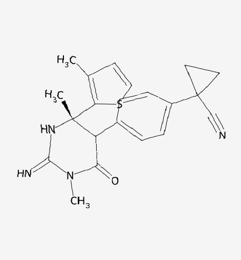 Cc1ccsc1[C@@]1(C)NC(=N)N(C)C(=O)C1c1ccc(C2(C#N)CC2)cc1